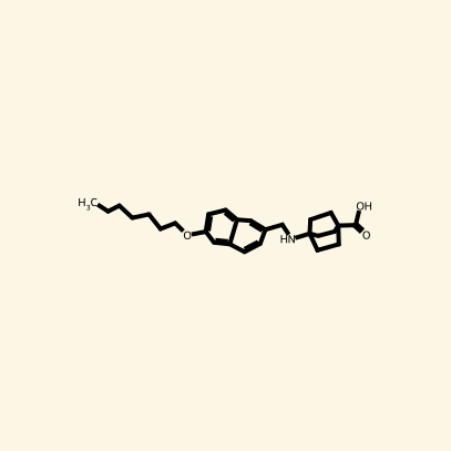 CCCCCCCOc1ccc2cc(CNC34CCC(C(=O)O)(CC3)CC4)ccc2c1